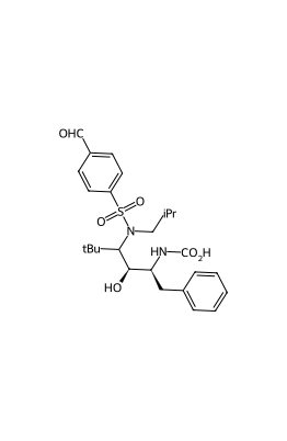 CC(C)CN(C([C@H](O)[C@H](Cc1ccccc1)NC(=O)O)C(C)(C)C)S(=O)(=O)c1ccc(C=O)cc1